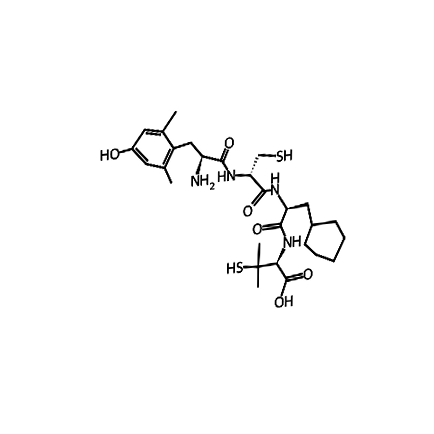 Cc1cc(O)cc(C)c1C[C@H](N)C(=O)N[C@H](CS)C(=O)N[C@@H](CC1CCCCC1)C(=O)N[C@@H](C(=O)O)C(C)(C)S